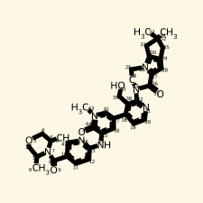 CC1COCC(C)N1C(=O)c1ccc(Nc2cc(-c3ccnc(N4CCn5c(cc6c5CC(C)(C)C6)C4=O)c3CO)cn(C)c2=O)nc1